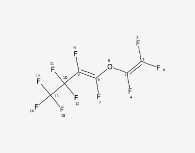 FC(F)=C(F)OC(F)=C(F)C(F)(F)C(F)(F)F